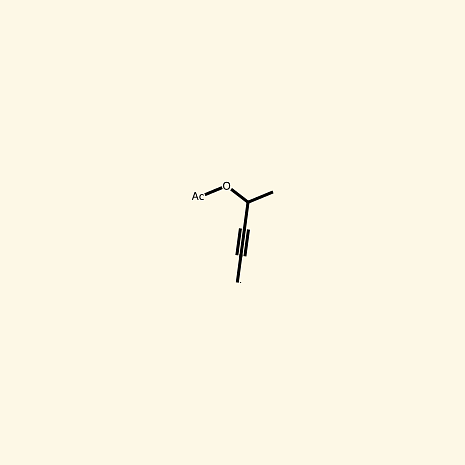 [CH2]C#CC(C)OC(C)=O